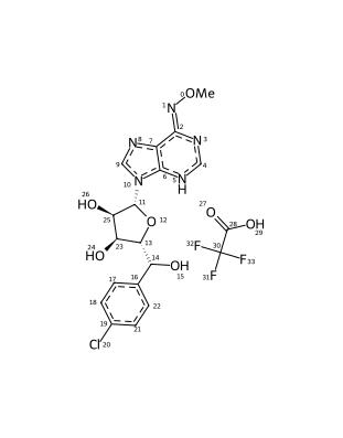 CON=c1nc[nH]c2c1ncn2[C@@H]1O[C@H](C(O)c2ccc(Cl)cc2)[C@@H](O)[C@H]1O.O=C(O)C(F)(F)F